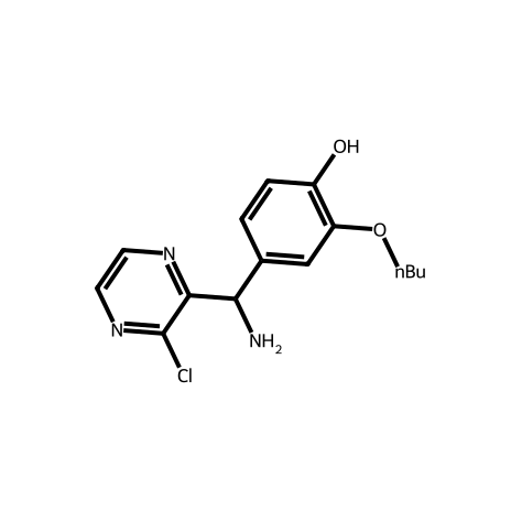 CCCCOc1cc(C(N)c2nccnc2Cl)ccc1O